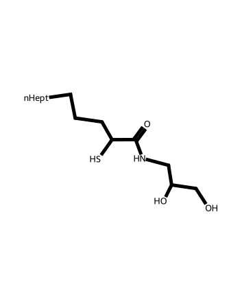 CCCCCCCCCCC(S)C(=O)NCC(O)CO